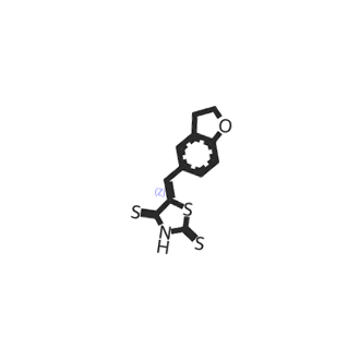 S=C1NC(=S)/C(=C/c2ccc3c(c2)CCO3)S1